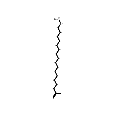 C=C(C)CCCCCCCCCCCCCCCSNC